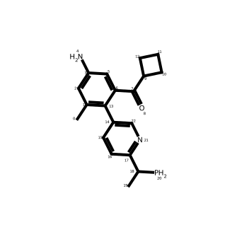 Cc1cc(N)cc(C(=O)C2CCC2)c1-c1ccc(C(C)P)nc1